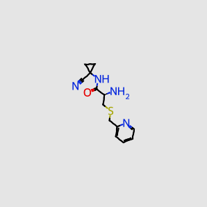 N#CC1(NC(=O)[C@@H](N)CSCc2ccccn2)CC1